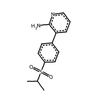 CC(C)S(=O)(=O)c1ccc(-c2cccnc2N)cc1